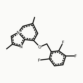 Cc1cc(OCc2c(F)ccc(F)c2F)c2nc(C)cn2c1